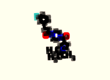 CC(C)(C)N1CCC(C(=O)N2CCN(C(=O)CCc3cccc(F)c3)CC2)C1